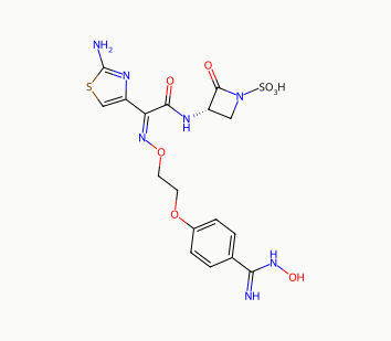 N=C(NO)c1ccc(OCCO/N=C(\C(=O)N[C@H]2CN(S(=O)(=O)O)C2=O)c2csc(N)n2)cc1